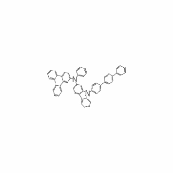 c1ccc(-c2ccc(-c3ccc(-n4c5ccccc5c5ccc(N(c6ccccc6)c6ccc7c8ccccc8c8ccccc8c7c6)cc54)cc3)cc2)cc1